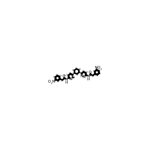 O=C(Cc1cccc([N+](=O)[O-])c1)Nc1ccc([C@H]2CCC[C@H](c3ccc(NC(=O)Cc4cccc([N+](=O)[O-])c4)nn3)C2)nn1